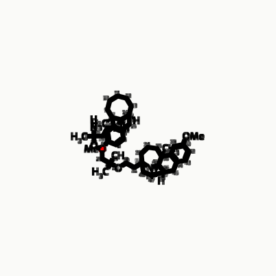 COc1ccc2c(c1)[C@@]1(C)CCCCC[C@@H](C2)[C@@H]1NCCC(C)(N)OCCC(C)(C)OCCC12CCC[C@]3(C)c4cc(OC)ccc4C[C@H](CC1)[C@@H]3N2